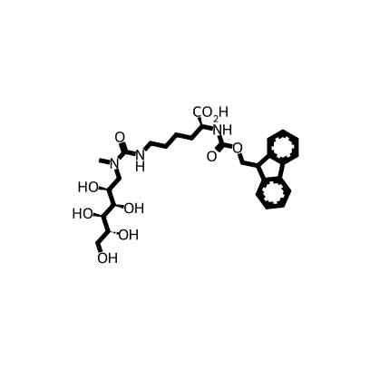 CN(C[C@H](O)[C@@H](O)[C@H](O)[C@H](O)CO)C(=O)NCCCC[C@H](NC(=O)OCC1c2ccccc2-c2ccccc21)C(=O)O